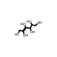 OC/C(O)=C(\O)C(O)C(O)CO